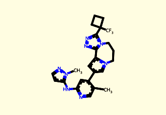 Cc1cnc(Nc2ccnn2C)cc1-c1cc2n(c1)CCCn1c-2nnc1C1(C(F)(F)F)CCC1